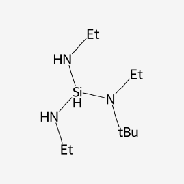 CCN[SiH](NCC)N(CC)C(C)(C)C